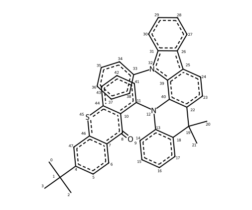 CC(C)(C)c1ccc2c(=O)c3c(N4c5ccccc5C(C)(C)c5ccc6c7ccccc7n(-c7ccccc7)c6c54)cccc3sc2c1